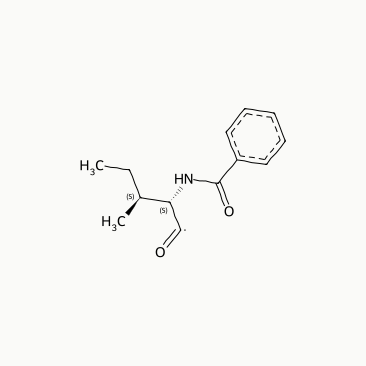 CC[C@H](C)[C@@H]([C]=O)NC(=O)c1ccccc1